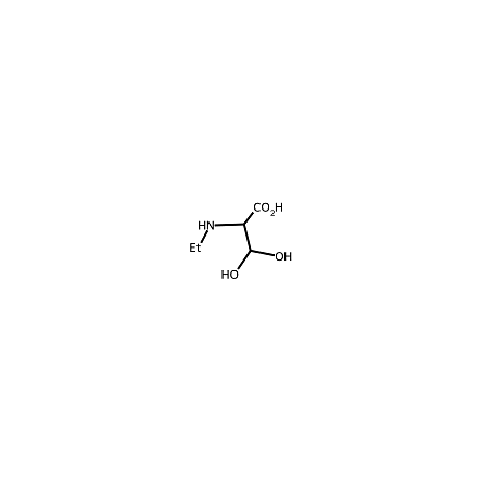 CCNC(C(=O)O)C(O)O